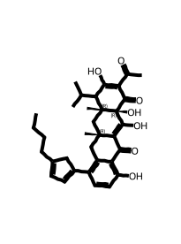 CCCCC1=CC=C(c2ccc(O)c3c2C[C@]2(C)C[C@]4(C)C(C(C)C)C(O)=C(C(C)=O)C(=O)[C@]4(O)C(O)=C2C3=O)C1